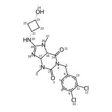 CN1C(=O)N(Cc2ccc(Cl)c(Cl)c2)C(=O)C2C1N=C(N[C@H]1C[C@@H](O)C1)N2C